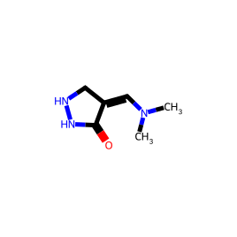 CN(C)C=C1CNNC1=O